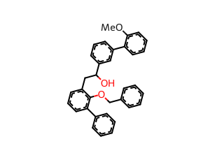 COc1ccccc1-c1cccc(C(O)Cc2cccc(-c3ccccc3)c2OCc2ccccc2)c1